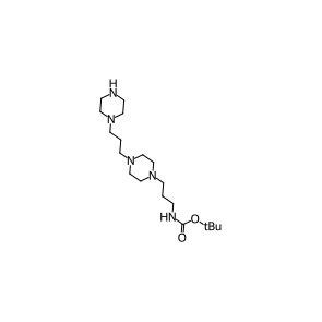 CC(C)(C)OC(=O)NCCCN1CCN(CCCN2CCNCC2)CC1